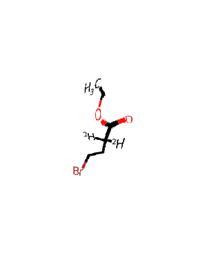 [2H]C([2H])(CCBr)C(=O)OCC